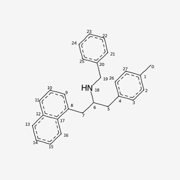 Cc1ccc(CC(Cc2cccc3ccccc23)NCc2ccccc2)cc1